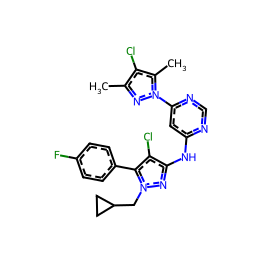 Cc1nn(-c2cc(Nc3nn(CC4CC4)c(-c4ccc(F)cc4)c3Cl)ncn2)c(C)c1Cl